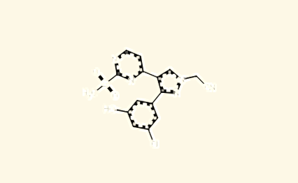 CS(=O)(=O)c1nccc(-c2cn(CC#N)nc2-c2cc(O)cc(Cl)c2)n1